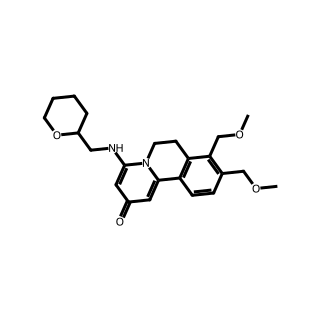 COCc1ccc2c(c1COC)CCn1c(NCC3CCCCO3)cc(=O)cc1-2